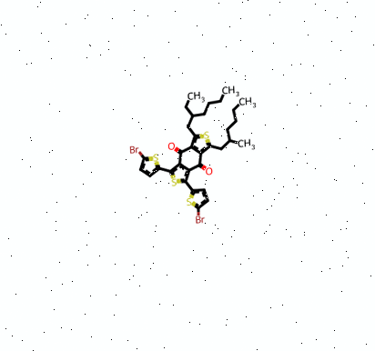 CCCCC(C)Cc1sc(CC(CC)CCCC)c2c1C(=O)c1c(-c3ccc(Br)s3)sc(-c3ccc(Br)s3)c1C2=O